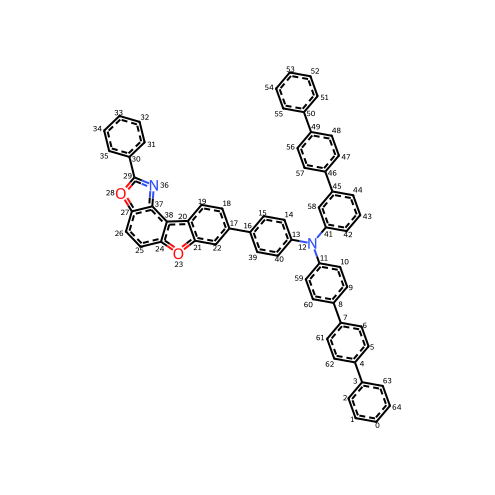 c1ccc(-c2ccc(-c3ccc(N(c4ccc(-c5ccc6c(c5)oc5ccc7oc(-c8ccccc8)nc7c56)cc4)c4cccc(-c5ccc(-c6ccccc6)cc5)c4)cc3)cc2)cc1